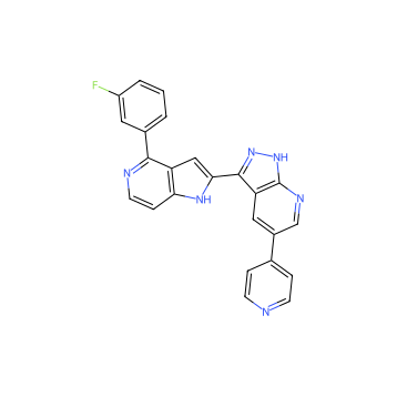 Fc1cccc(-c2nccc3[nH]c(-c4n[nH]c5ncc(-c6ccncc6)cc45)cc23)c1